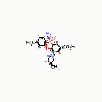 Cc1cccc(Oc2c(N3CCC(C)C3)cc(C(=O)O)cc2S(N)(=O)=O)c1